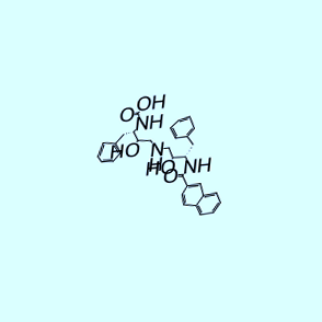 O=C(O)N[C@@H](Cc1ccccc1)[C@H](O)CNCC(O)[C@H](Cc1ccccc1)NC(=O)c1ccc2ccccc2c1